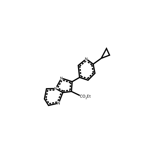 CCOC(=O)c1c(-c2ccc(C3CC3)nc2)nn2cccnc12